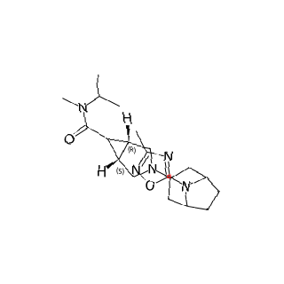 Cc1noc(N2C3CCC2CC(N2C[C@@H]4C(C(=O)N(C)C(C)C)[C@@H]4C2)C3)n1